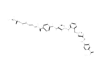 CNC(=O)c1ccc(NCc2cn(Cc3ccccc3Cn3cc(CNc4ccc(C(=O)NCCCCCCC(=O)NO)cc4)nn3)nn2)cc1